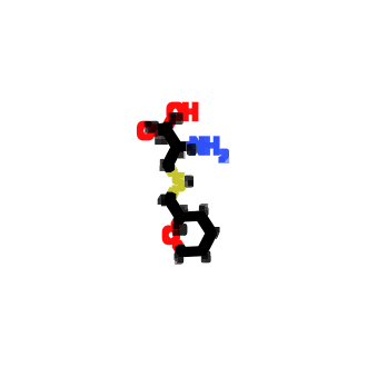 NC(CSCC1CCCCO1)C(=O)O